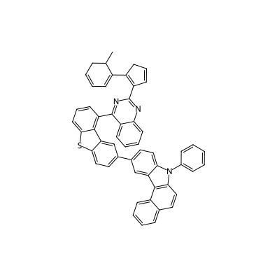 CC1CC=CC=C1C1=C(c2nc(-c3cccc4sc5ccc(-c6ccc7c(c6)c6c8ccccc8ccc6n7-c6ccccc6)cc5c34)c3ccccc3n2)C=CC1